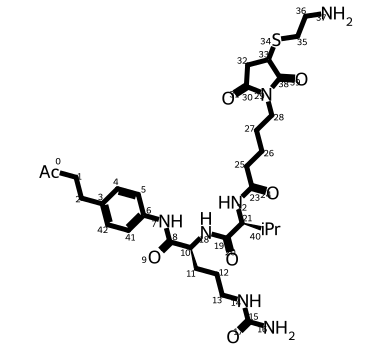 CC(=O)CCc1ccc(NC(=O)[C@H](CCCNC(N)=O)NC(=O)[C@@H](NC(=O)CCCCN2C(=O)CC(SCCN)C2=O)C(C)C)cc1